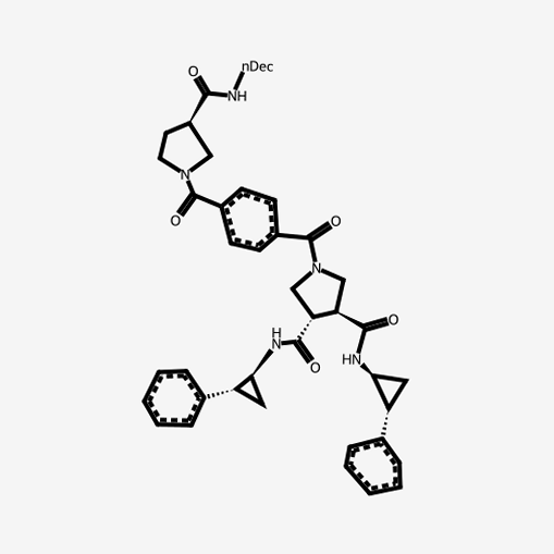 CCCCCCCCCCNC(=O)[C@@H]1CCN(C(=O)c2ccc(C(=O)N3C[C@@H](C(=O)N[C@H]4C[C@@H]4c4ccccc4)[C@H](C(=O)N[C@H]4C[C@@H]4c4ccccc4)C3)cc2)C1